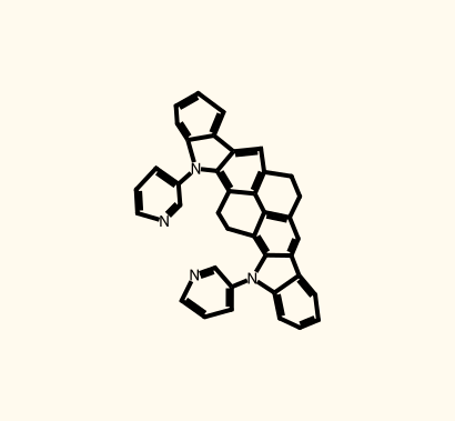 c1cncc(-n2c3ccccc3c3cc4c5c(c32)CCc2c-5c(cc3c5ccccc5n(-c5cccnc5)c23)CC4)c1